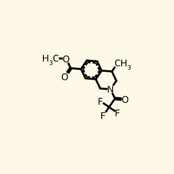 COC(=O)c1ccc2c(c1)CN(C(=O)C(F)(F)F)CC2C